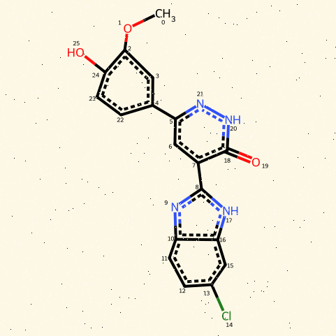 COc1cc(-c2cc(-c3nc4ccc(Cl)cc4[nH]3)c(=O)[nH]n2)ccc1O